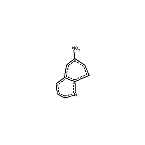 O=[N+]([O-])c1[c]c2cccnc2cc1